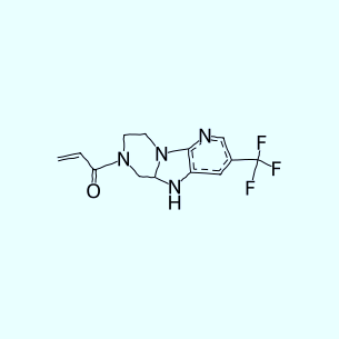 C=CC(=O)N1CCN2c3ncc(C(F)(F)F)cc3NC2C1